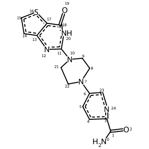 NC(=O)c1ccc(N2CCN(c3nc4ccsc4c(=O)[nH]3)CC2)cn1